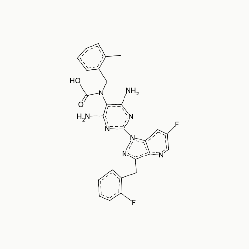 Cc1ccccc1CN(C(=O)O)c1c(N)nc(-n2nc(Cc3ccccc3F)c3ncc(F)cc32)nc1N